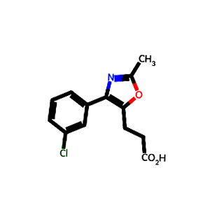 Cc1nc(-c2cccc(Cl)c2)c(CCC(=O)O)o1